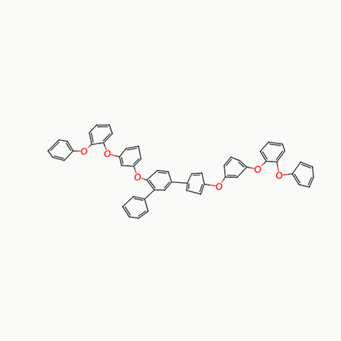 c1ccc(Oc2ccccc2Oc2cccc(Oc3ccc(-c4ccc(Oc5cccc(Oc6ccccc6Oc6ccccc6)c5)c(-c5ccccc5)c4)cc3)c2)cc1